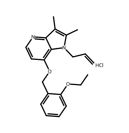 C=CCn1c(C)c(C)c2nccc(OCc3ccccc3OCC)c21.Cl